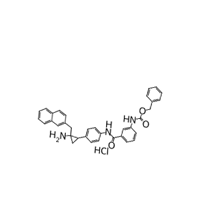 Cl.NC1(Cc2ccc3ccccc3c2)CC1c1ccc(NC(=O)c2cccc(NC(=O)OCc3ccccc3)c2)cc1